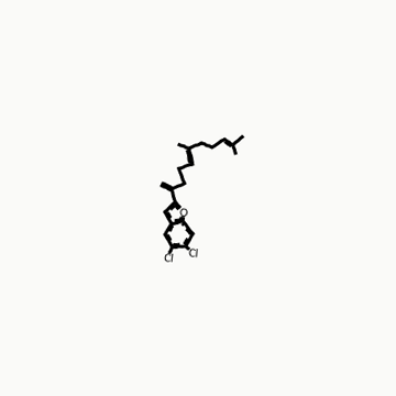 C=C(CC/C=C(\C)CCC=C(C)C)c1cc2cc(Cl)c(Cl)cc2o1